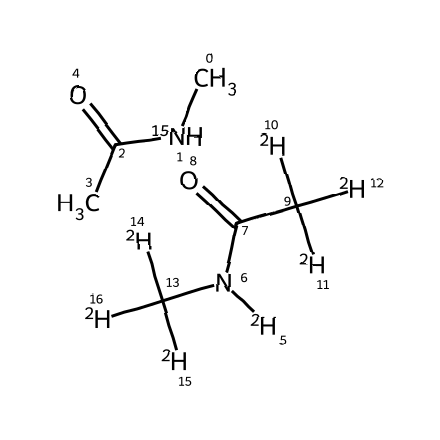 C[15NH]C(C)=O.[2H]N(C(=O)C([2H])([2H])[2H])C([2H])([2H])[2H]